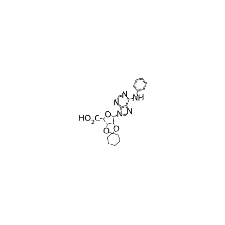 O=C(O)[C@H]1O[C@@H](n2cnc3c(Nc4ccccc4)ncnc32)C2OC3(CCCCC3)OC21